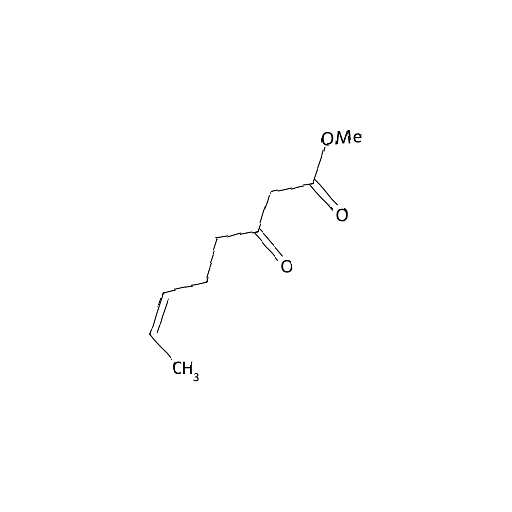 C/C=C\CCC(=O)CC(=O)OC